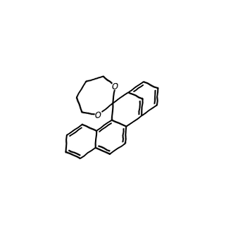 c1cc2cc(c1)C1(OCCCCO1)c1c-2ccc2ccccc12